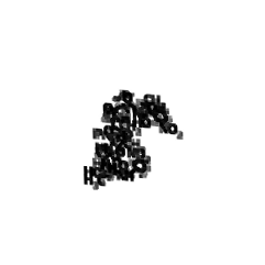 C=C(C(=O)[C@H](CC(C)C)NC(=O)[C@H](CC(C)C)NC(=O)[C@H](CC(C)(C)O)NC(=O)Cc1cccc([N+](=O)[O-])c1)S(=O)(=O)C(=C)C(=O)[C@H](CC(C)C)NC(=O)[C@H](CC(C)C)NC(=O)[C@H](CC(C)(C)O)NC(=O)Cc1cccc([N+](=O)[O-])c1